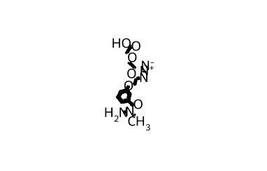 CCN(N)C(=O)c1cccc(OCC(N=[N+]=[N-])OCCOCC(=O)O)c1